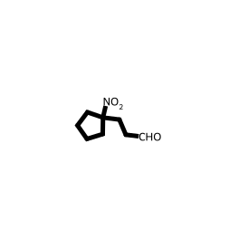 O=CCCC1([N+](=O)[O-])CCCC1